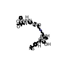 CC(=O)c1c(C)c2cnc(Nc3ccc(N4CCN(C(=O)CC/C=C/CCC(=O)N[C@H](C(=O)N5C[C@H](O)C[C@H]5C(=O)NCc5ccc(-c6scnc6C)cc5)C(C)(C)C)CC4)cn3)nc2n(C2CCCC2)c1=O